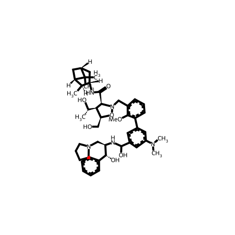 COc1c(CN2O[C@@H](CO)[C@@H]([C@H](C)O)[C@H]2C(=O)N[C@H]2C[C@H]3C[C@@H]([C@@H]2C)C3(C)C)cccc1-c1cc(C(O)N[C@H](CN2CCCC2)[C@H](O)c2ccccc2)cc(N(C)C)c1